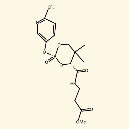 COC(=O)CCNC(=O)[C@@H]1O[P@](=O)(Oc2ccc(C(F)(F)F)nc2)OCC1(C)C